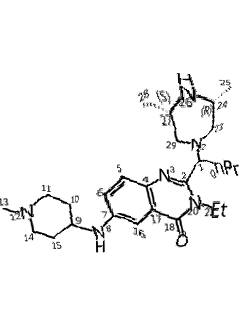 CCCC(c1nc2ccc(NC3CCN(C)CC3)cc2c(=O)n1CC)N1C[C@@H](C)N[C@@H](C)C1